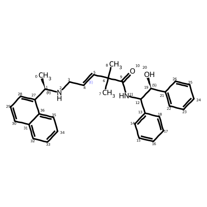 C[C@@H](NC/C=C/C(C)(C)C(=O)NC(c1ccccc1)[C@@H](O)c1ccccc1)c1cccc2ccccc12